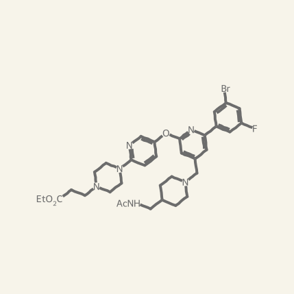 CCOC(=O)CCN1CCN(c2ccc(Oc3cc(CN4CCC(CNC(C)=O)CC4)cc(-c4cc(F)cc(Br)c4)n3)cn2)CC1